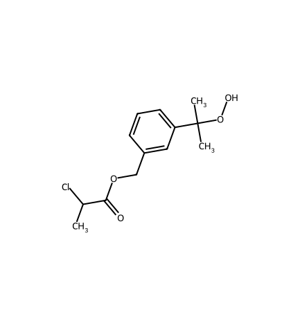 CC(Cl)C(=O)OCc1cccc(C(C)(C)OO)c1